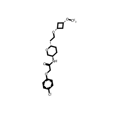 O=C(COc1ccc(Cl)cc1)N[C@@H]1CC[C@@H](CCO[C@H]2C[C@@H](OC(F)(F)F)C2)OC1